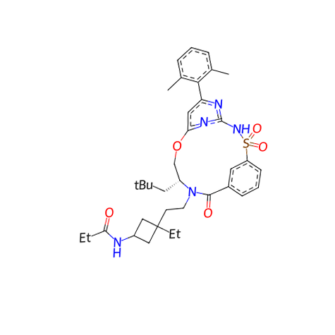 CCC(=O)NC1CC(CC)(CCN2C(=O)c3cccc(c3)S(=O)(=O)Nc3nc(cc(-c4c(C)cccc4C)n3)OC[C@H]2CC(C)(C)C)C1